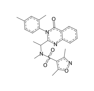 Cc1ccc(-n2c(C(C)N(C)S(=O)(=O)c3c(C)noc3C)nc3ccccc3c2=O)c(C)c1